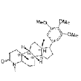 COc1cc(C2CC[C@H]3[C@@H]4CCC5N(C)C(=O)CC[C@]5(C)[C@@H]4CC[C@]23C)cc(OC)c1OC